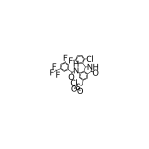 O=C(Nc1cc(CS(=O)(=O)Cl)cc2c1C(c1cc(F)ccc1Cl)NC2=O)c1cc(F)cc(C(F)(F)F)c1